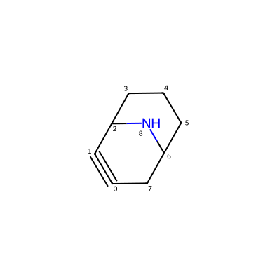 C1#CC2CCCC(C1)N2